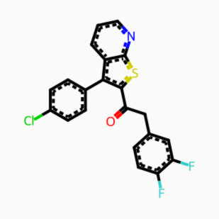 O=C(Cc1ccc(F)c(F)c1)c1sc2ncccc2c1-c1ccc(Cl)cc1